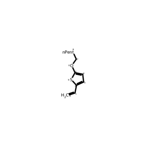 C=Cc1ccc(OCCCCCC)s1